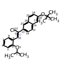 CC(C)Oc1ccccc1/C=C(\Cl)c1ccc2cc(OC(C)(C)C)ccc2c1